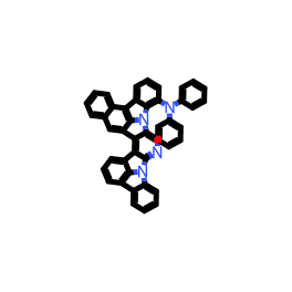 c1ccc(N(c2ccccc2)c2cccc3c4c5ccccc5cc5c6c7c8cccc9c%10ccccc%10n(c7ncc6n(c23)c54)c98)cc1